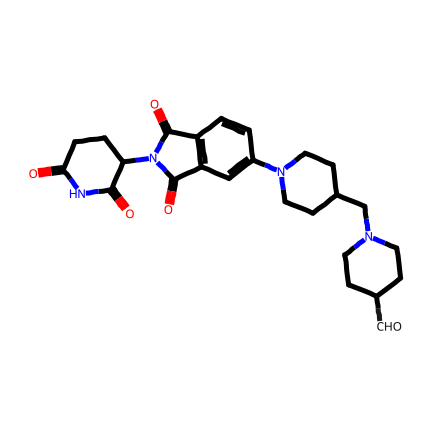 O=CC1CCN(CC2CCN(c3ccc4c(c3)C(=O)N(C3CCC(=O)NC3=O)C4=O)CC2)CC1